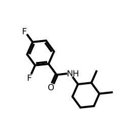 CC1CCCC(NC(=O)c2ccc(F)cc2F)C1C